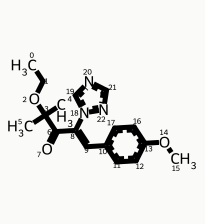 CCOC(C)(C)C(=O)C(=Cc1ccc(OC)cc1)n1cncn1